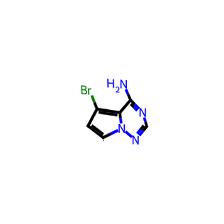 Nc1ncnn2[c]cc(Br)c12